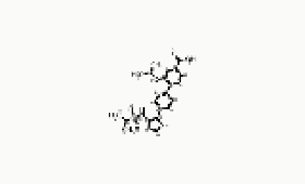 CC(C)Oc1cc(C(=O)O)ccc1-c1ccc(-c2sccc2NS(=O)(=O)C(C)C)cc1